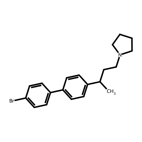 CC(CCN1CCCC1)c1ccc(-c2ccc(Br)cc2)cc1